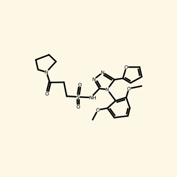 COc1cccc(OC)c1-n1c(NS(=O)(=O)CCC(=O)N2CCCC2)nnc1-c1ccco1